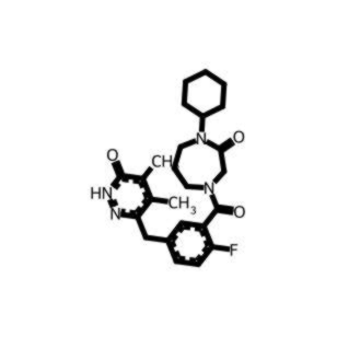 Cc1c(Cc2ccc(F)c(C(=O)N3CCCN(C4CCCCC4)C(=O)C3)c2)n[nH]c(=O)c1C